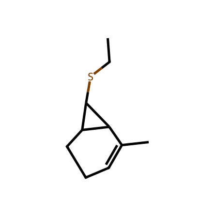 CCSC1C2CCC=C(C)C21